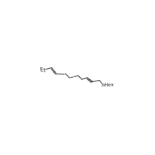 [CH2]C/C=C/CCCC/C=C/CCCCCCC